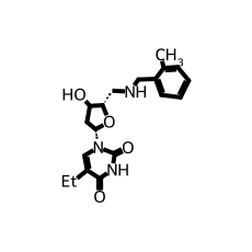 CCc1cn([C@@H]2CC(O)[C@H](CNCc3ccccc3C)O2)c(=O)[nH]c1=O